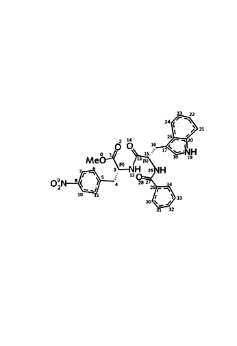 COC(=O)[C@@H](Cc1ccc([N+](=O)[O-])cc1)NC(=O)[C@H](Cc1c[nH]c2ccccc12)NC(=O)c1ccccc1